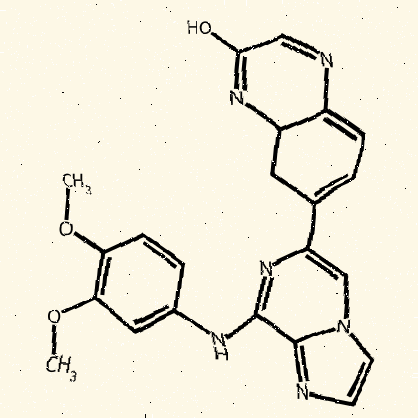 COc1ccc(Nc2nc(C3=CC=C4N=CC(O)=NC4C3)cn3ccnc23)cc1OC